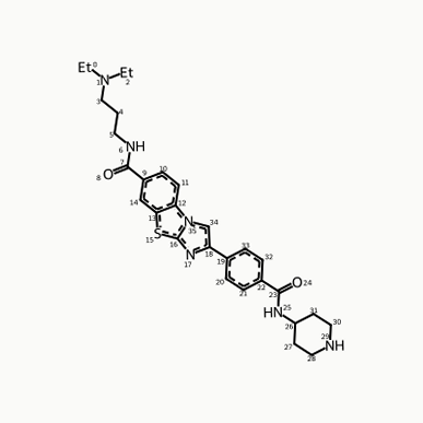 CCN(CC)CCCNC(=O)c1ccc2c(c1)sc1nc(-c3ccc(C(=O)NC4CCNCC4)cc3)cn12